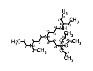 CCCN(CC)CCCN(CCCNC(CC)CC)CCC[Si](OCC)(OCC)OCC